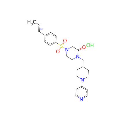 C/C=C/c1ccc(S(=O)(=O)N2CCN(CC3CCN(c4ccncc4)CC3)C(=O)C2)cc1.Cl